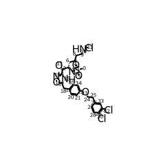 CS(=O)(=O)N[C@@H](CCCCNCl)C(=O)c1noc(Cc2ccc(OCCc3ccc(Cl)c(Cl)c3)cc2)n1